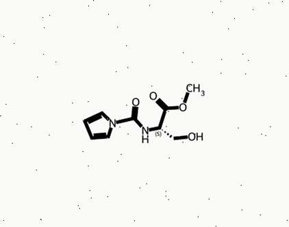 COC(=O)[C@H](CO)NC(=O)n1cccc1